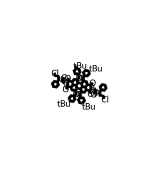 CC(C)(C)c1ccc(Oc2cc3c4c(cc(Oc5ccc(C(C)(C)C)cc5)c5c6c(Oc7ccc(C(C)(C)C)cc7)cc7c8c(cc(Oc9ccc(C(C)(C)C)cc9)c(c2c45)c86)C(=O)N(CC(=O)N(CCCl)c2ccccc2)C7O)C(=O)N(CC(=O)N(CCCl)c2ccccc2)C3=O)cc1